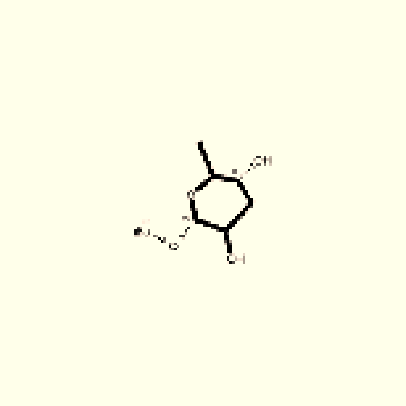 CC[C@@H](C)O[C@@H]1OC(C)[C@H](O)CC1O